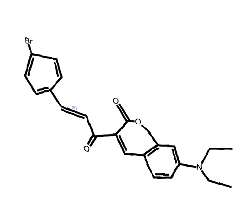 CCN(CC)c1ccc2cc(C(=O)/C=C/c3ccc(Br)cc3)c(=O)oc2c1